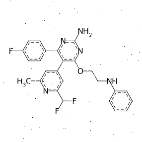 Cc1cc(-c2c(OCCNc3ccccc3)nc(N)nc2-c2ccc(F)cc2)cc(C(F)F)n1